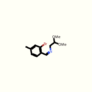 COC(C/N=C\c1ccc(C)cc1Br)OC